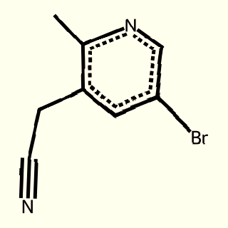 Cc1ncc(Br)cc1CC#N